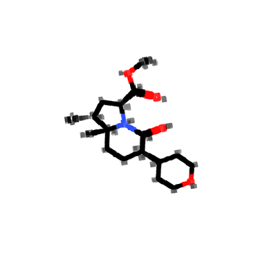 COC(=O)[C@@H]1C[C@@H](C)[C@H]2CC[C@H](C3CCOCC3)C(=O)N21